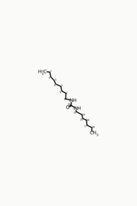 CCCCCCCCCNC(=O)NCCCCCCC